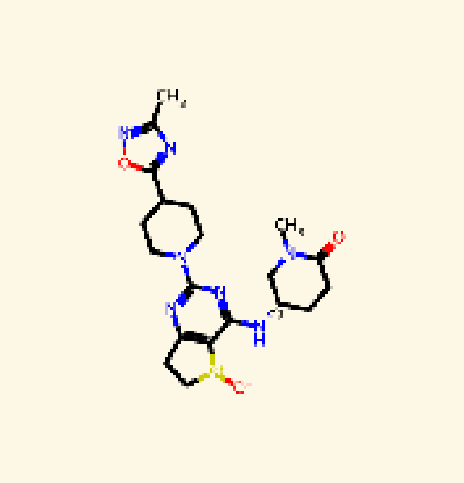 Cc1noc(C2CCN(c3nc4c(c(N[C@H]5CCC(=O)N(C)C5)n3)[S+]([O-])CC4)CC2)n1